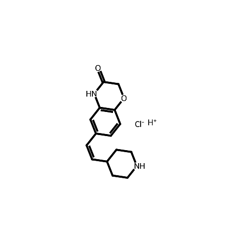 O=C1COc2ccc(/C=C\C3CCNCC3)cc2N1.[Cl-].[H+]